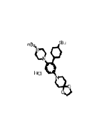 CCCCN1CCN(c2ccc(N3CCC4(CC3)OCCO4)cc2C2CCC(C(C)(C)C)CC2)CC1.Cl